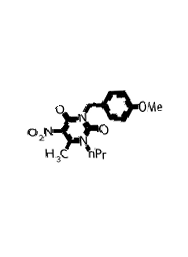 CCCn1c(C)c([N+](=O)[O-])c(=O)n(Cc2ccc(OC)cc2)c1=O